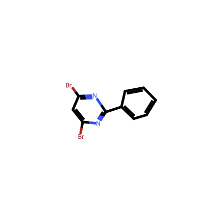 Brc1cc(Br)nc(-c2ccccc2)n1